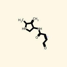 C=C1C(C)NCC1NC(=O)/C=C\C=O